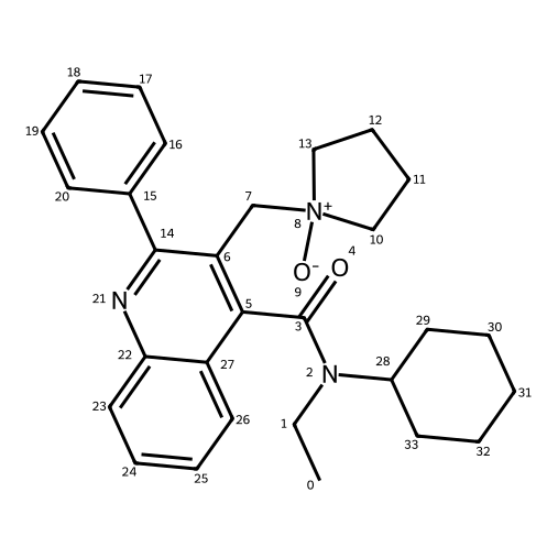 CCN(C(=O)c1c(C[N+]2([O-])CCCC2)c(-c2ccccc2)nc2ccccc12)C1CCCCC1